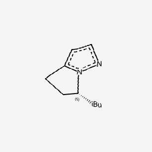 CCC(C)[C@@H]1CCc2ccnn21